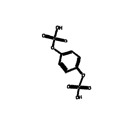 O=S(=O)(O)Oc1[c]cc(OS(=O)(=O)O)cc1